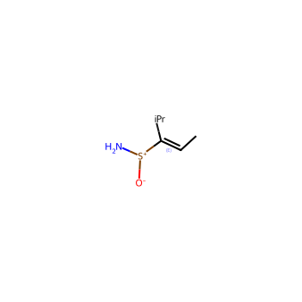 C/C=C(\C(C)C)[S+](N)[O-]